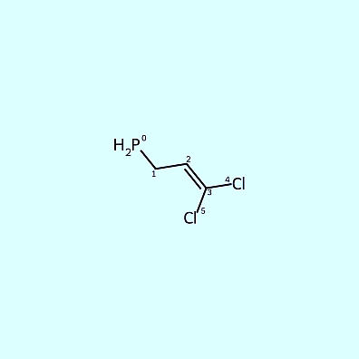 PCC=C(Cl)Cl